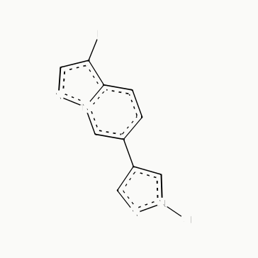 Cn1cc(-c2ccc3c(F)cnn3c2)cn1